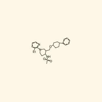 CCc1cccnc1N1CCC(NS(C)(=O)=O)C(COC2CCC(c3ccccc3)CC2)C1